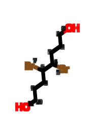 OCCCC(Br)C(Br)CCCO